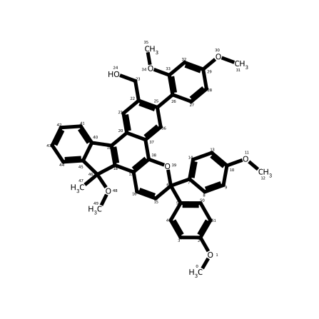 COc1ccc(C2(c3ccc(OC)cc3)C=Cc3c4c(c5cc(CO)c(-c6ccc(OC)cc6OC)cc5c3O2)-c2ccccc2C4(C)OC)cc1